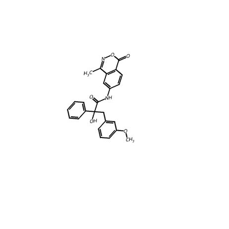 COc1cccc(CC(O)(C(=O)Nc2ccc3c(=O)onc(C)c3c2)c2ccccc2)c1